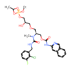 CCO[PH]1(OC[C@H](O)COC[C@@H](COC(=O)Nc2cc3ccccc3cn2)N(C)C(=O)NCc2cccc(F)c2Cl)OC(C)O1